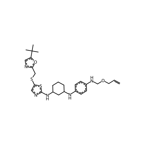 C=CCOCNc1ccc(NC2CCCC(Nc3ncc(SCc4ncc(C(C)(C)C)o4)s3)C2)cc1